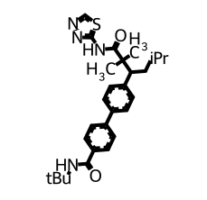 CC(C)CC(c1ccc(-c2ccc(C(=O)NC(C)(C)C)cc2)cc1)C(C)(C)C(=O)Nc1nncs1